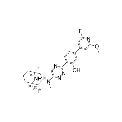 COc1cc(-c2ccc(-c3ncc(N(C)[C@H]4C[C@]5(C)CCC[C@@](C)(N5)[C@H]4F)nn3)c(O)c2)cc(F)n1